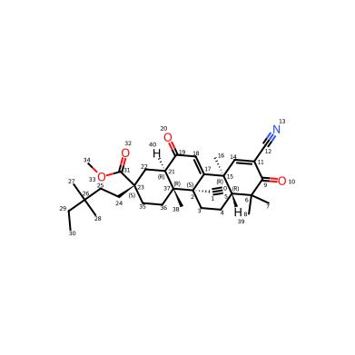 C#C[C@@]12CC[C@H]3C(C)(C)C(=O)C(C#N)=C[C@]3(C)C1=CC(=O)[C@@H]1C[C@@](CCC(C)(C)CC)(C(=O)OC)CC[C@]12C